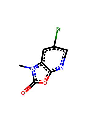 Cn1c(=O)oc2ncc(Br)cc21